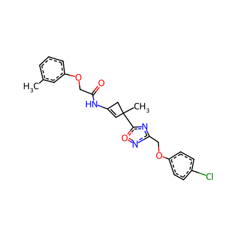 Cc1cccc(OCC(=O)NC2=CC(C)(c3nc(COc4ccc(Cl)cc4)no3)C2)c1